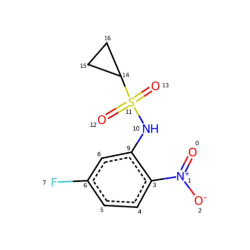 O=[N+]([O-])c1ccc(F)cc1NS(=O)(=O)C1CC1